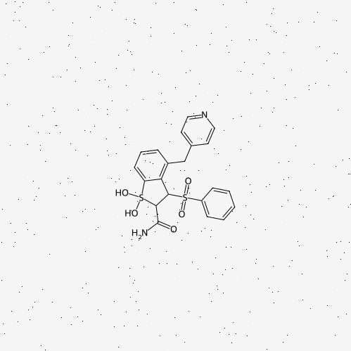 NC(=O)C1C(S(=O)(=O)c2ccccc2)c2c(Cc3ccncc3)cccc2S1(O)O